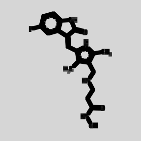 Cc1[nH]c(/C=C2\C(=O)Nc3ccc(F)cc32)c(C)c1CNCCC(=O)NO